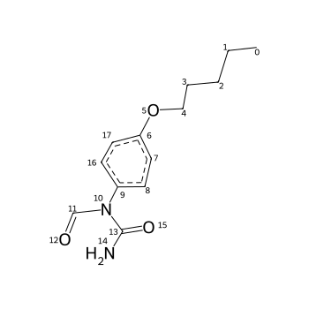 CCCCCOc1ccc(N(C=O)C(N)=O)cc1